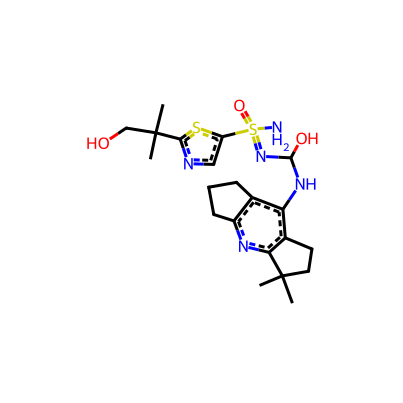 CC(C)(CO)c1ncc(S(N)(=O)=NC(O)Nc2c3c(nc4c2CCC4(C)C)CCC3)s1